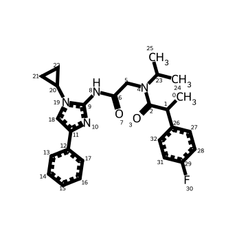 CC(C(=O)N(CC(=O)Nc1nc(-c2ccccc2)cn1C1CC1)C(C)C)c1ccc(F)cc1